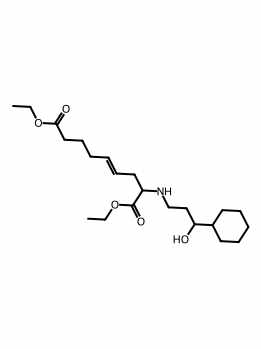 CCOC(=O)CCCC=CCC(NCCC(O)C1CCCCC1)C(=O)OCC